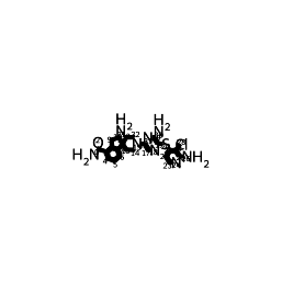 NC(=O)c1cccc2c1C[C@@H](N)C21CCN(c2cnc(Sc3ccnc(N)c3Cl)c(N)n2)CC1